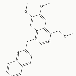 COCc1ncc(Cc2ccc3ccc[c]c3n2)c2cc(OC)c(OC)cc12